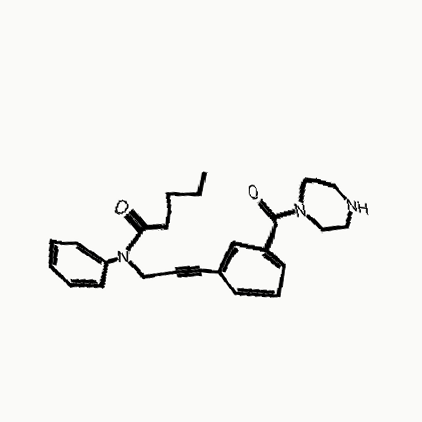 CCCCC(=O)N(CC#Cc1cccc(C(=O)N2CCNCC2)c1)c1ccccc1